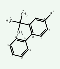 CC(C)(C)c1cc(F)ccc1-c1ccccc1